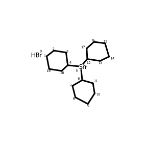 Br.C1CC[CH]([Sn]([CH]2CCCCC2)[CH]2CCCCC2)CC1